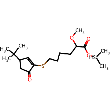 COC(CCCCSC1=CC(C(C)(C)C)CC1=O)C(=O)O[SiH](C)C